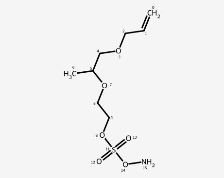 C=CCOCC(C)OCCOS(=O)(=O)ON